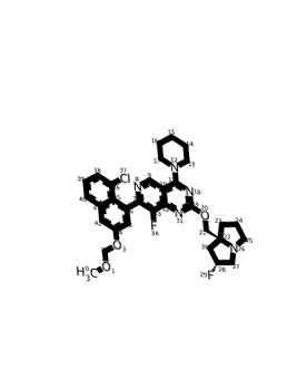 COCOc1cc(-c2ncc3c(N4CCCCC4)nc(OC[C@@]45CCCN4C[C@H](F)C5)nc3c2F)c2c(Cl)cccc2c1